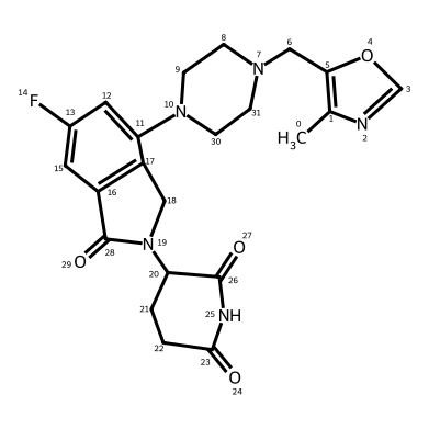 Cc1ncoc1CN1CCN(c2cc(F)cc3c2CN(C2CCC(=O)NC2=O)C3=O)CC1